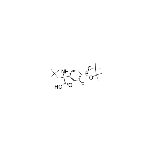 CC(C)(C)CC(N)(C(=O)O)c1ccc(B2OC(C)(C)C(C)(C)O2)c(F)c1